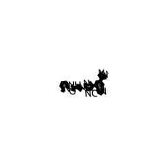 Cc1cccc(NC(=O)C2CN(c3ccc(-c4cc(-c5cnn(C)c5)cn5ncc(C#N)c45)cn3)C2)n1